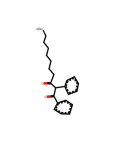 CCCCCCCCCCCCCCCCCC(=O)C(C(=O)c1ccccc1)c1ccccc1